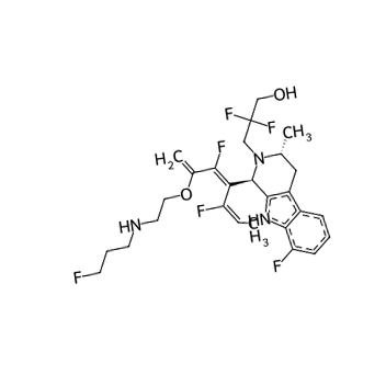 C=C(OCCNCCCF)/C(F)=C(\C(F)=C/C)[C@@H]1c2[nH]c3c(F)cccc3c2C[C@@H](C)N1CC(F)(F)CO